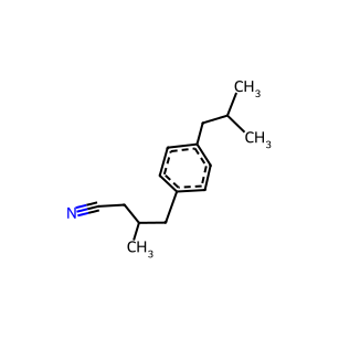 CC(C)Cc1ccc(CC(C)CC#N)cc1